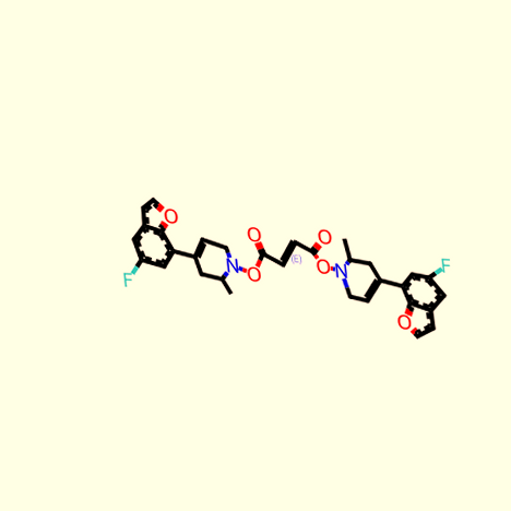 CC1CC(c2cc(F)cc3ccoc23)=CCN1OC(=O)/C=C/C(=O)ON1CC=C(c2cc(F)cc3ccoc23)CC1C